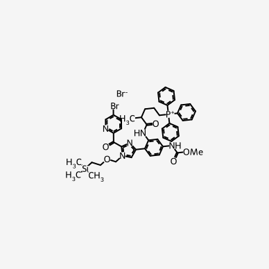 COC(=O)Nc1ccc(-c2cn(COCC[Si](C)(C)C)c(C(=O)c3ccc(Br)cn3)n2)c(NC(=O)C(C)CCC[P+](c2ccccc2)(c2ccccc2)c2ccccc2)c1.[Br-]